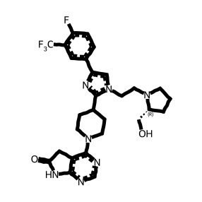 O=C1Cc2c(ncnc2N2CCC(c3nc(-c4ccc(F)c(C(F)(F)F)c4)cn3CCN3CCC[C@@H]3CO)CC2)N1